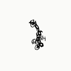 CCc1cc(Nc2ncc(Cl)c(Nc3ccccc3P(C)(C)=O)n2)c(OC)cc1N1CCC(N(C)C(=O)OC(C)(C)C)CC1